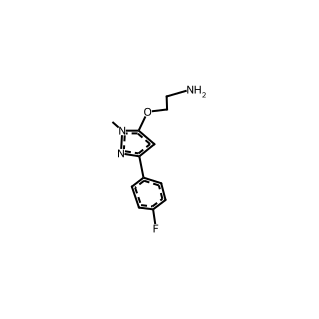 Cn1nc(-c2ccc(F)cc2)cc1OCCN